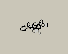 CC1=C(CC(=O)N2CCOCC2)COc2c1ccc(O)c2C=O